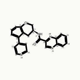 O=C(N[C@@H]1COc2cccc(-c3ccncc3)c2C1)c1cnc2ccccc2n1